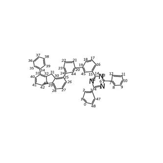 c1ccc(-c2nc(-c3ccccc3)nc(-c3cccc(-c4cccc(-c5cccc6c5Cc5c(-c7ccccc7)cccc5-6)c4)c3)n2)cc1